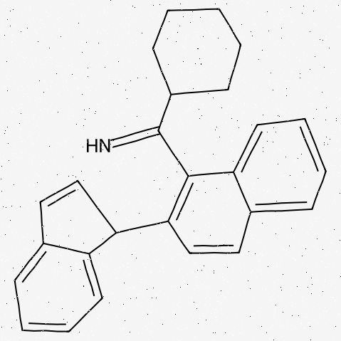 N=C(c1c(C2C=Cc3ccccc32)ccc2ccccc12)C1CCCCC1